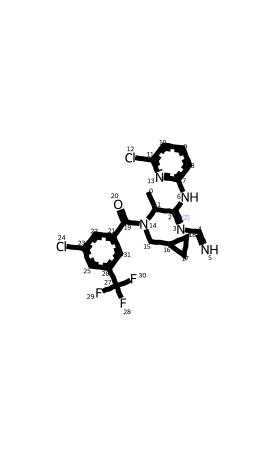 CC(/C(=N/C=N)Nc1cccc(Cl)n1)N(CC1CC1)C(=O)c1cc(Cl)cc(C(F)(F)F)c1